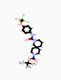 CC(C)(C)OC(=O)N1CCC2(CCCN(C(=O)Nc3ccc(OC(F)(F)F)cc3)C2)CC1